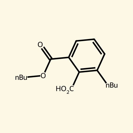 CCCCOC(=O)c1cccc(CCCC)c1C(=O)O